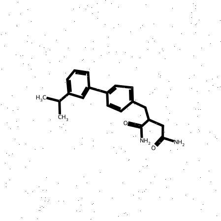 CC(C)c1cccc(-c2ccc(CC(CC(N)=O)C(N)=O)cc2)c1